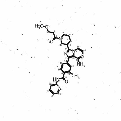 COCCC(=O)N1CCCC(c2nc(-c3ccc(C(=O)Nc4ccccn4)c(C)c3)c3c(N)nccn23)C1